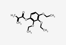 C=C(C)C(=O)Oc1ccc(OCC)c(OCC)c1OCC